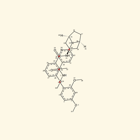 COc1ccc(CNC(=O)c2ccc(N3[C@@H]4CC[C@H]3C[C@@H](NC(=O)c3cccc(OC)c3C)C4)nc2)c(OC)c1